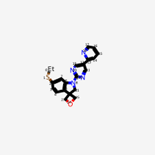 CCSc1ccc2c(c1)N(c1ncc(-c3ccccn3)cn1)CC21COC1